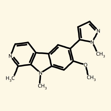 COc1cc2c(cc1-c1ccnn1C)c1ccnc(C)c1n2C